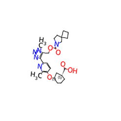 Cc1nc(-c2nnn(C)c2COC(=O)N2CCC3(CCC3)C2)ccc1O[C@H]1CCC[C@H](C(=O)O)C1